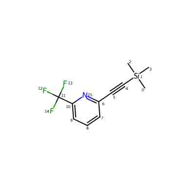 C[Si](C)(C)C#Cc1cccc(C(F)(F)F)n1